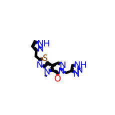 Cn1c2nc(Cc3cc[nH]n3)sc2c2cnn(Cc3c[nH]nn3)c(=O)c21